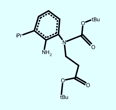 CC(C)c1cccc(N(CCC(=O)OC(C)(C)C)C(=O)OC(C)(C)C)c1N